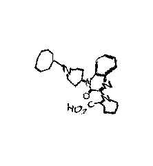 O=C(O)C1CCCN1c1nc2ccccc2n(C2CCN(C3CCCCCCC3)CC2)c1=O